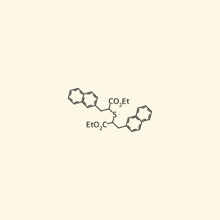 CCOC(=O)C(Cc1ccc2ccccc2c1)SC(Cc1ccc2ccccc2c1)C(=O)OCC